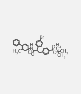 CC1=C(c2ccccc2)C=CC(Cl)(NC(=O)C(Cc2ccc(C(=O)OC(C)(C)C)cc2)c2ccc(Br)cc2)C1